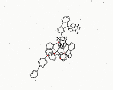 CC1(C)c2ccccc2-c2ccc(-c3nc(-c4ccccc4C4(c5ccccc5)c5ccccc5-c5ccccc54)nc(-c4cccc5oc6ccc(-c7cccc(-c8ccc(-c9ccccc9)cc8)c7)cc6c45)n3)cc21